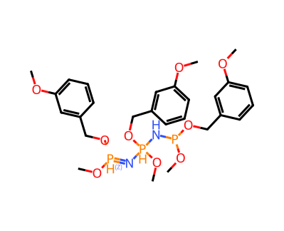 COc1cccc(COP(N[PH](/N=[PH](/OC)OCc2cccc(OC)c2)(OC)OCc2cccc(OC)c2)OC)c1